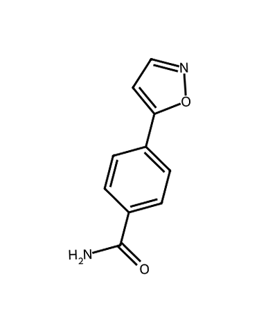 NC(=O)c1ccc(-c2ccno2)cc1